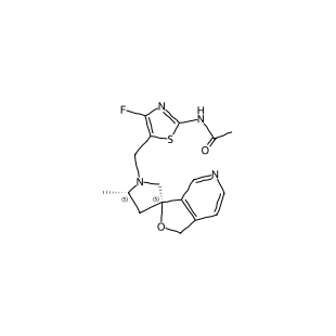 CC(=O)Nc1nc(F)c(CN2C[C@@]3(C[C@@H]2C)OCc2ccncc23)s1